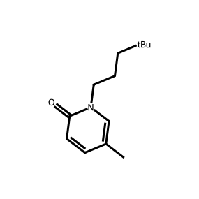 Cc1ccc(=O)n(CCCC(C)(C)C)c1